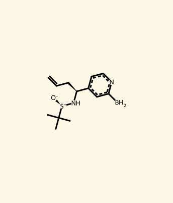 Bc1cc([C@H](CC=C)N[S@+]([O-])C(C)(C)C)ccn1